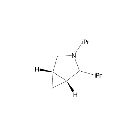 CC(C)C1[C@@H]2C[C@@H]2CN1C(C)C